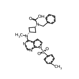 Cc1ccc(S(=O)(=O)n2ccc3c(N(C)[C@H]4C[C@@H](N(Cc5ccccc5)C(=O)O)C4)ncnc32)cc1